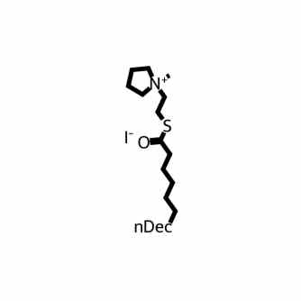 CCCCCCCCCCCCCCCC(=O)SCC[N+]1(C)CCCC1.[I-]